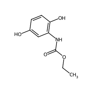 CCOC(=O)Nc1cc(O)ccc1O